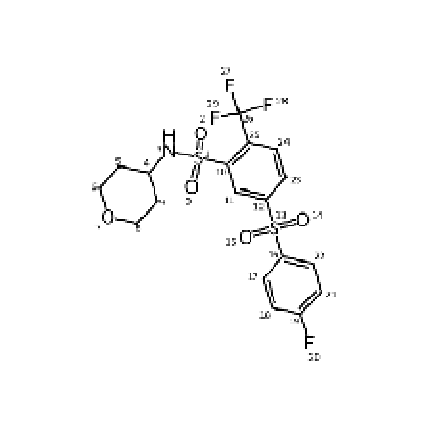 O=S(=O)(NC1CCOCC1)c1cc(S(=O)(=O)c2ccc(F)cc2)ccc1C(F)(F)F